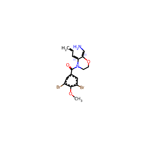 C=C/C=C1\C(=C/N)OCCN1C(=O)c1cc(Br)c(OC)c(Br)c1